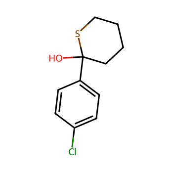 OC1(c2ccc(Cl)cc2)CCCCS1